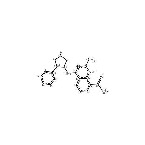 Cc1nc(NC2CNC[C@@H]2c2ccccc2)c2cccc(C(N)=O)c2n1